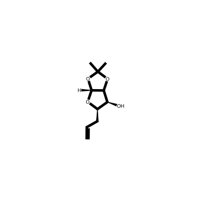 C=CC[C@H]1O[C@@H]2OC(C)(C)OC2[C@H]1O